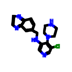 Clc1cncc(NCc2ccc3nccnc3c2)c1N1CCNCC1